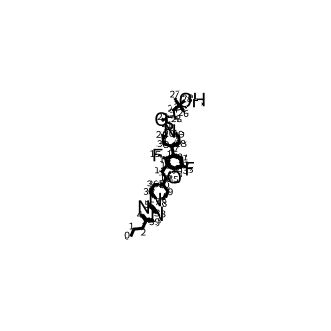 CCCc1cnc(N2CCC(C3Cc4c(F)c(C5=CCN([S+]([O-])CCC(C)(C)O)CC5)cc(F)c4O3)CC2)nc1